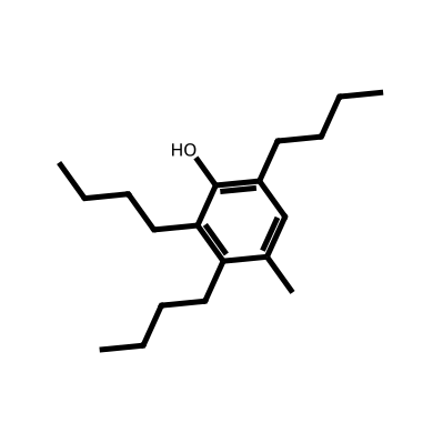 CCCCc1cc(C)c(CCCC)c(CCCC)c1O